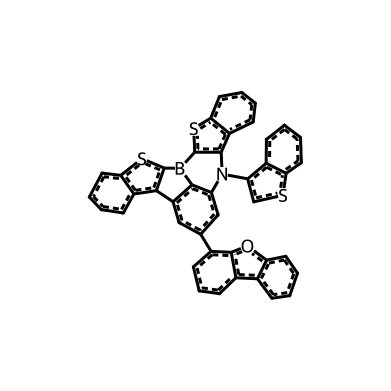 c1ccc2c(c1)oc1c(-c3cc4c5c(c3)N(c3csc6ccccc36)c3c(sc6ccccc36)B5c3sc5ccccc5c3-4)cccc12